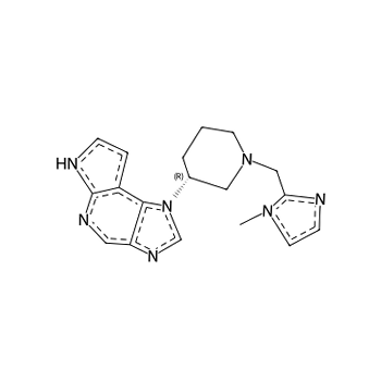 Cn1ccnc1CN1CCC[C@@H](n2cnc3cnc4[nH]ccc4c32)C1